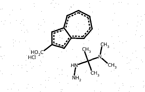 CN(C)C(C)(C)NN.Cl.O=C(O)c1cc2cccccc-2c1